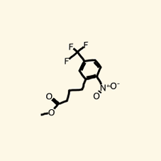 COC(=O)CCCc1cc(C(F)(F)F)ccc1[N+](=O)[O-]